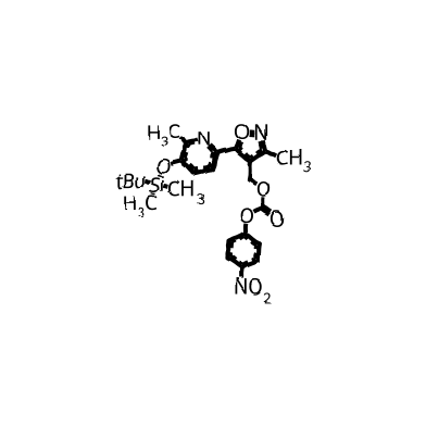 Cc1nc(-c2onc(C)c2COC(=O)Oc2ccc([N+](=O)[O-])cc2)ccc1O[Si](C)(C)C(C)(C)C